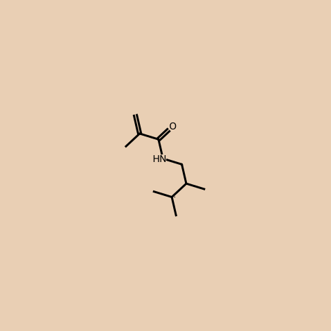 C=C(C)C(=O)NCC(C)[C](C)C